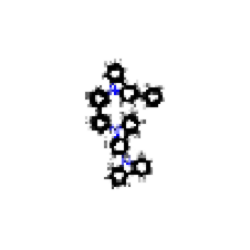 c1ccc(-c2ccc3c(c2)c2ccccc2n3-c2cccc(-c3cccc(-n4c5ccccc5c5cc(-n6c7ccccc7c7ccccc76)ccc54)c3)c2)cc1